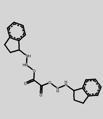 O=C(ONNC1CCc2ccccc21)C(=O)ONNC1CCc2ccccc21